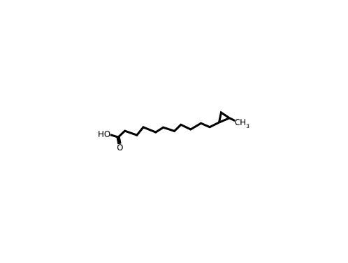 CC1CC1CCCCCCCCCCC(=O)O